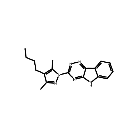 CCCCc1c(C)nn(-c2nnc3c(n2)[nH]c2ccccc23)c1C